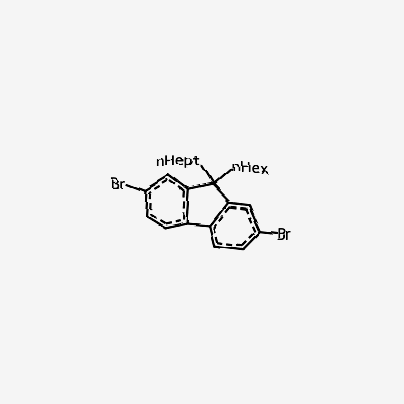 CCCCCCCC1(CCCCCC)c2cc(Br)ccc2-c2ccc(Br)cc21